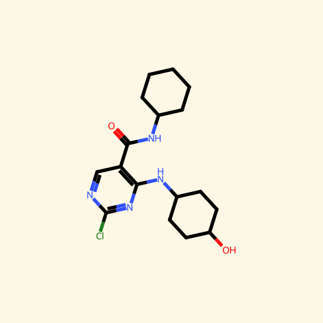 O=C(NC1CCCCC1)c1cnc(Cl)nc1NC1CCC(O)CC1